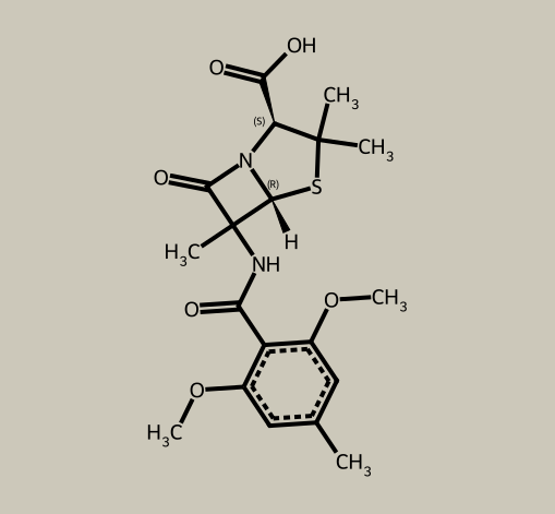 COc1cc(C)cc(OC)c1C(=O)NC1(C)C(=O)N2[C@@H](C(=O)O)C(C)(C)S[C@@H]21